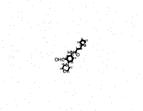 O=Cc1cc(NC(=O)C=Cc2cccs2)ccc1N1CCOCC1